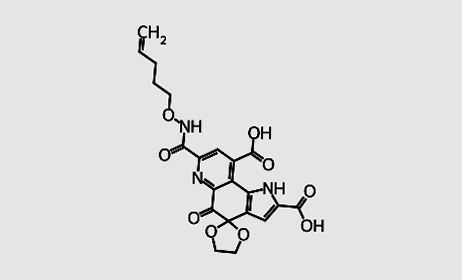 C=CCCCONC(=O)c1cc(C(=O)O)c2c(n1)C(=O)C1(OCCO1)c1cc(C(=O)O)[nH]c1-2